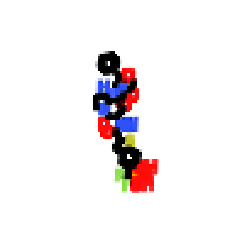 NC(=O)CCC(NC(=O)c1cc2cc(C(F)(F)P(=O)(O)O)ccc2s1)C(=O)N1CCC[C@H]1C(=O)N1CCO[C@H](c2ccccc2)C1